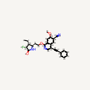 CC[C@@H]1[C@H](F)C(=O)N[C@@H]1CCOc1ncc(C#Cc2ccccc2)c2cc(C#N)c(OC)cc12